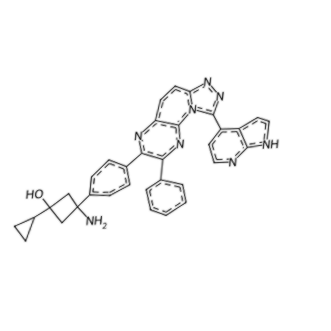 NC1(c2ccc(-c3nc4ccc5nnc(-c6ccnc7[nH]ccc67)n5c4nc3-c3ccccc3)cc2)CC(O)(C2CC2)C1